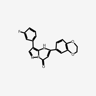 O=c1cc(-c2ccc3c(c2)OCCO3)[nH]c2c(-c3cccc(F)c3)cnn12